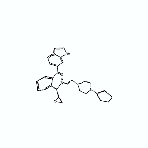 O=C(c1ccc2cc[nH]c2c1)c1ccccc1C(NCCC1CCN(C2CCCC2)CC1)C1CO1